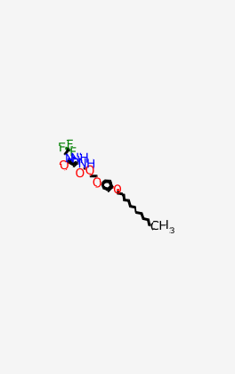 CCCCCCCCCCCCOc1ccc(OCCOC(=O)Nc2cc(=O)n(CC(F)(F)F)[nH]2)cc1